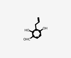 C=CCc1c(O)ccc(C=O)c1O